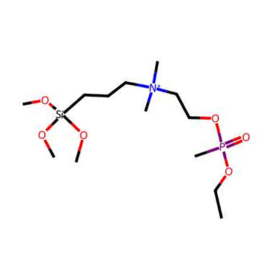 CCOP(C)(=O)OCC[N+](C)(C)CCC[Si](OC)(OC)OC